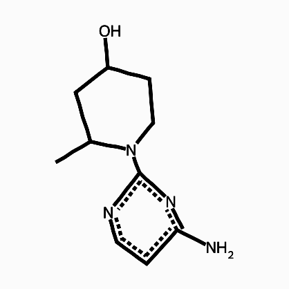 CC1CC(O)CCN1c1nccc(N)n1